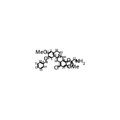 COc1cc2c(cc1OCc1ccccc1)C1Cc3c(Cl)cc(OC)c(OC(=O)CN)c3CN1CC2